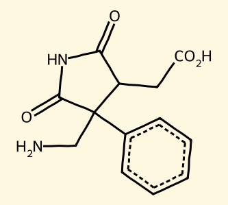 NCC1(c2ccccc2)C(=O)NC(=O)C1CC(=O)O